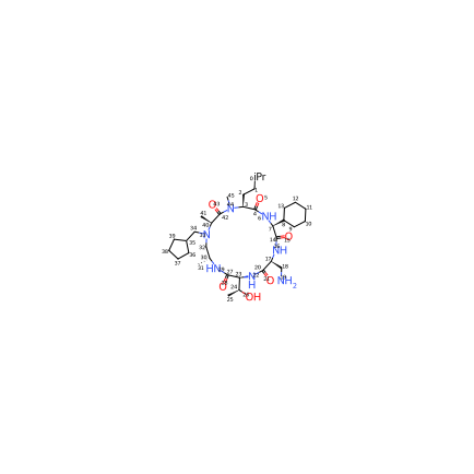 CC(C)CC[C@H]1C(=O)N[C@@H](C2CCCCC2)C(=O)N[C@@H](CN)C(=O)N[C@@H]([C@H](C)O)C(=O)N[C@H](C)CN(CC2CCCC2)[C@@H](C)C(=O)N1C